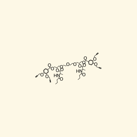 C#CCOc1ccc(C(=O)OCC(COCCOCCOCC(COC(=O)c2ccc(OCC#C)c(OCC#C)c2)OC(=O)C(C)NC(=O)CCC)OC(=O)C(C)NC(=O)CCC)cc1OCC#C